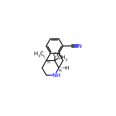 CC1(C)[C@H]2Cc3c(C#N)cccc3[C@]1(C)CCN2